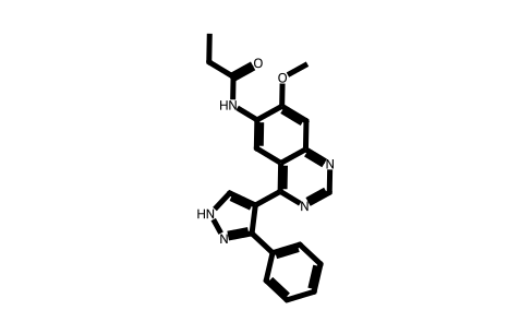 CCC(=O)Nc1cc2c(-c3c[nH]nc3-c3ccccc3)ncnc2cc1OC